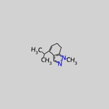 CC(C)C1=CCCc2c1cnn2C